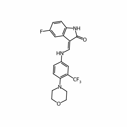 O=C1Nc2ccc(F)cc2C1=CNc1ccc(N2CCOCC2)c(C(F)(F)F)c1